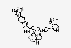 CCOc1c(F)cncc1C1CN(C(=O)[C@@H]2CC[C@@H]3CCC[C@H](NC(=O)c4cc5cc([C@@H](F)P(=O)(O)O)ccc5s4)C(=O)N32)C1